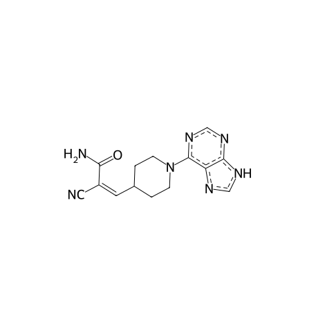 N#CC(=CC1CCN(c2ncnc3[nH]cnc23)CC1)C(N)=O